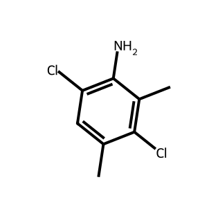 Cc1cc(Cl)c(N)c(C)c1Cl